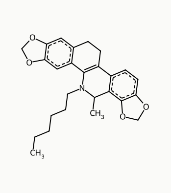 CCCCCCN1C2=C(CCc3cc4c(cc32)OCO4)c2ccc3c(c2C1C)OCO3